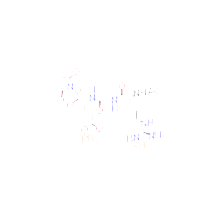 CPNC(=N)NCCC[C@H](NC(C)=O)C(=O)NCC(=O)NC(CCC(=O)OP)C(=O)ON1C(=O)CCC1=O